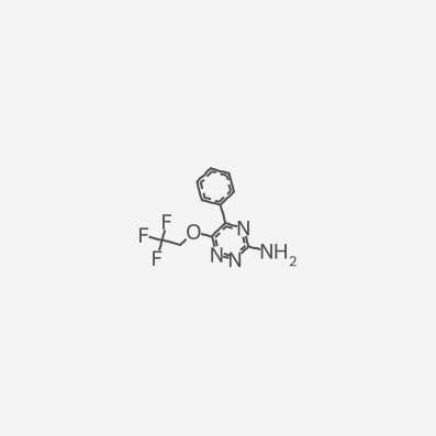 Nc1nnc(OCC(F)(F)F)c(-c2ccccc2)n1